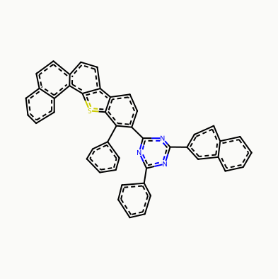 c1ccc(-c2nc(-c3ccc4ccccc4c3)nc(-c3ccc4c(sc5c4ccc4ccc6ccccc6c45)c3-c3ccccc3)n2)cc1